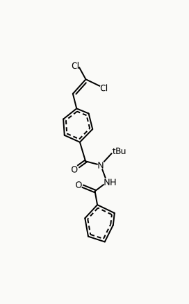 CC(C)(C)N(NC(=O)c1ccccc1)C(=O)c1ccc(C=C(Cl)Cl)cc1